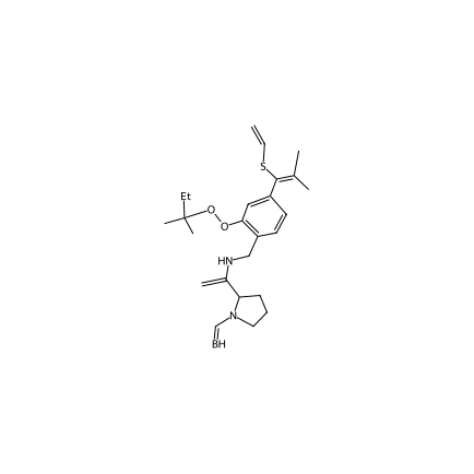 B=CN1CCCC1C(=C)NCc1ccc(C(SC=C)=C(C)C)cc1OOC(C)(C)CC